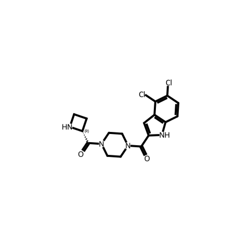 O=C(c1cc2c(Cl)c(Cl)ccc2[nH]1)N1CCN(C(=O)[C@H]2CCN2)CC1